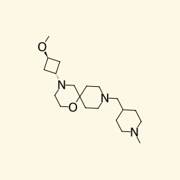 CO[C@H]1C[C@H](N2CCOC3(CCN(CC4CCN(C)CC4)CC3)C2)C1